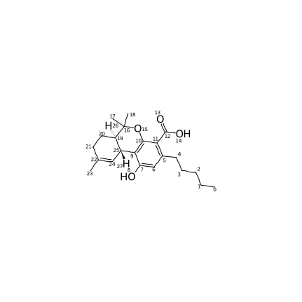 CCCCCc1cc(O)c2c(c1C(=O)O)OC(C)(C)[C@@H]1CCC(C)=C[C@@H]21